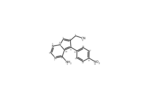 N#CCc1cn2ncnc(N)c2c1-c1ccc([N+](=O)[O-])cc1